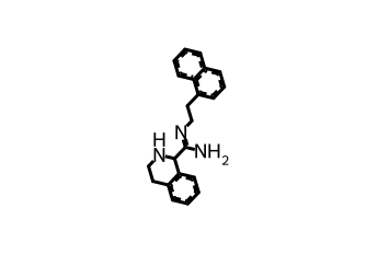 NC(=NCCc1cccc2ccccc12)C1NCCc2ccccc21